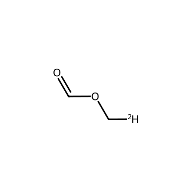 [2H]COC=O